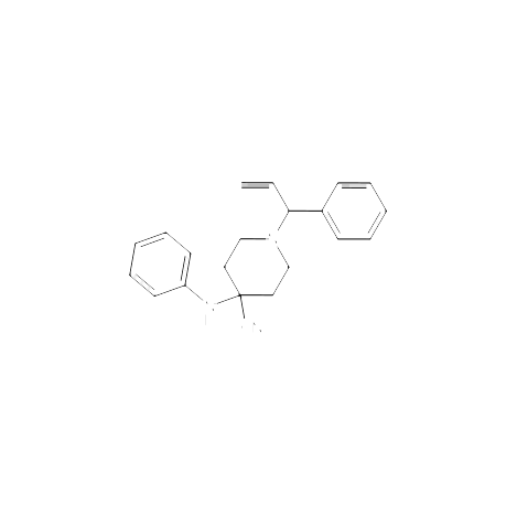 C=CC(c1ccccc1)N1CCC(C#N)(Nc2ccccc2)CC1